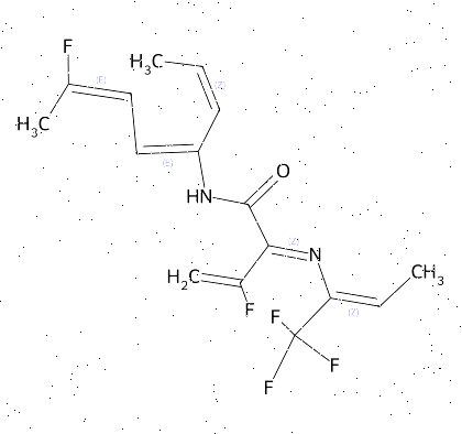 C=C(F)/C(=N\C(=C/C)C(F)(F)F)C(=O)NC(/C=C\C)=C/C=C(\C)F